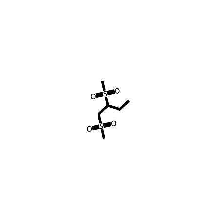 CCC(CS(C)(=O)=O)S(C)(=O)=O